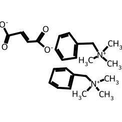 C[N+](C)(C)Cc1ccccc1.C[N+](C)(C)Cc1ccccc1.O=C([O-])/C=C/C(=O)[O-]